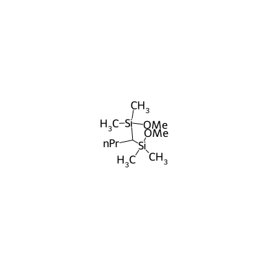 CCCC([Si](C)(C)OC)[Si](C)(C)OC